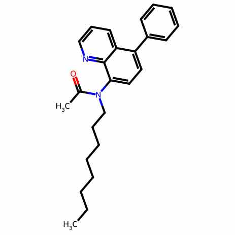 CCCCCCCCN(C(C)=O)c1ccc(-c2ccccc2)c2cccnc12